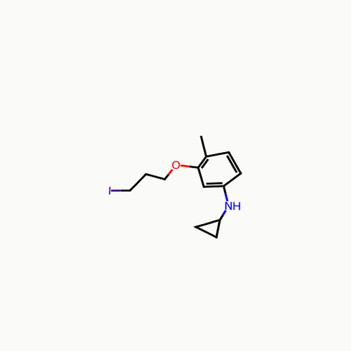 Cc1ccc(NC2CC2)cc1OCCCI